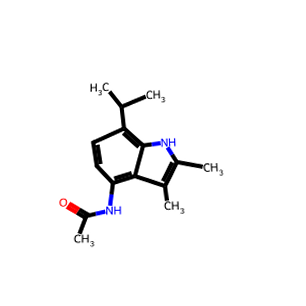 CC(=O)Nc1ccc(C(C)C)c2[nH]c(C)c(C)c12